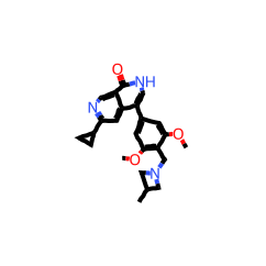 COc1cc(-c2c[nH]c(=O)c3cnc(C4CC4)cc23)cc(OC)c1CN1CC(C)C1